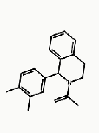 C=C(C)N1CCc2ccccc2C1c1ccc(C)c(C)c1